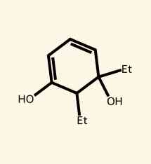 CCC1C(O)=CC=CC1(O)CC